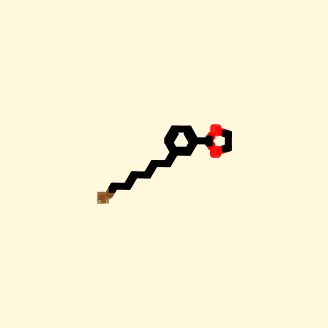 BrCCCCCCc1cccc(C2OCCO2)c1